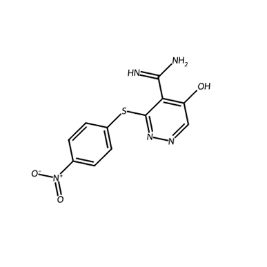 N=C(N)c1c(O)cnnc1Sc1ccc([N+](=O)[O-])cc1